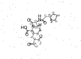 CC(=O)C(CC1=C(C(=O)O)N2C(=O)[C@@H](NC(=O)Cc3cccs3)[C@@H]2SC1)C(C)=O